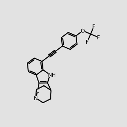 FC(F)(F)Oc1ccc(C#Cc2cccc3c4c([nH]c23)C2CCN(CC2)C4)cc1